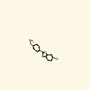 NCc1ccc(-c2nc3ccc(Cl)cc3o2)cc1